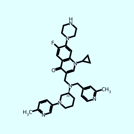 Cc1ccc(N2CCC[C@H](N(Cc3ccnc(C)c3)Cc3cn(C4CC4)c4cc(N5CCNCC5)c(F)cc4c3=O)C2)cn1